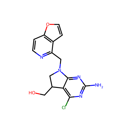 Nc1nc(Cl)c2c(n1)N(Cc1nccc3occc13)CC2CO